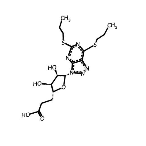 CCCSc1nc(SCCC)c2nnn([C@@H]3O[C@H](CCC(=O)O)[C@@H](O)[C@H]3O)c2n1